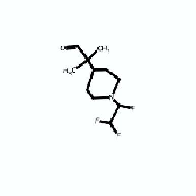 CC(C)(C=O)C1CCN(C(F)C(F)F)CC1